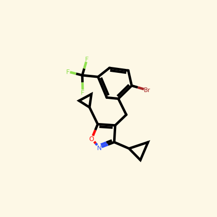 FC(F)(F)c1ccc(Br)c(Cc2c(C3CC3)noc2C2CC2)c1